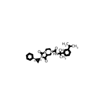 C=C(C)c1cccc(C(C)(C)NC(=O)N2CCN3C(=O)N([C@@H]4C[C@H]4c4ccccc4)C(=O)C3C2)c1